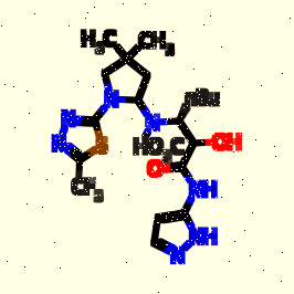 CCCC[C@@H](C(O)C(=O)Nc1ccn[nH]1)N(C(=O)O)C1CC(C)(C)CN1c1nnc(C(F)(F)F)s1